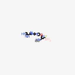 BC(F)c1cc(CNC(C)CC)cc(OC2CCN(C3CC(n4cc(-c5ncnc6[nH]ccc56)cn4)C3)CC2)n1